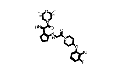 C[C@@H]1CN(C(=O)C(=N)C2=C(NCC(=O)N3CCC(Oc4cccc(F)c4Br)CC3)CCC2)C[C@H](C)O1